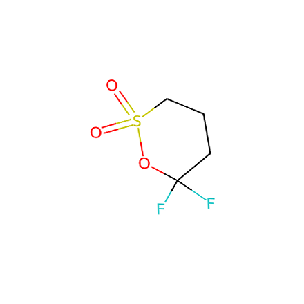 O=S1(=O)CCCC(F)(F)O1